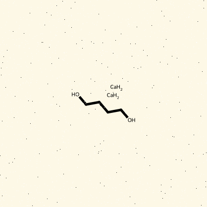 OCCCCO.[CaH2].[CaH2]